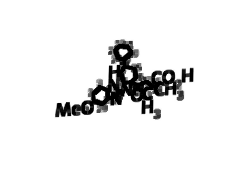 COc1ccc2[nH]c(NC3(C(=O)CC(C)(C)C(=O)O)C=CC(c4ccccc4)C=C3)nc2c1